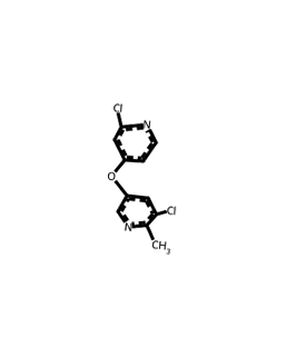 Cc1ncc(Oc2ccnc(Cl)c2)cc1Cl